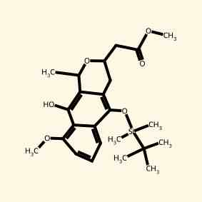 COC(=O)CC1Cc2c(c(O)c3c(OC)cccc3c2O[Si](C)(C)C(C)(C)C)C(C)O1